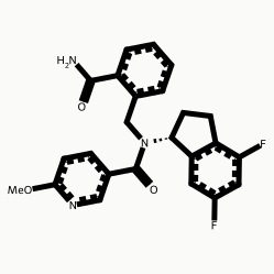 COc1ccc(C(=O)N(Cc2ccccc2C(N)=O)[C@@H]2CCc3c(F)cc(F)cc32)cn1